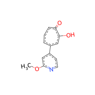 COc1cc(-c2cccc(=O)c(O)c2)ccn1